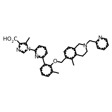 Cc1cccc(-c2cccc(-n3cnc(C(=O)O)c3C)n2)c1OCc1ccc2c(c1C)CCN(Cc1ccccn1)C2